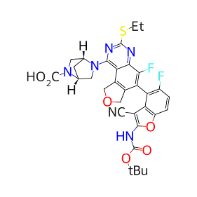 CCSc1nc(N2C[C@H]3C[C@@H]2CN3C(=O)O)c2c3c(c(-c4c(F)ccc5oc(NC(=O)OC(C)(C)C)c(C#N)c45)c(F)c2n1)COC3